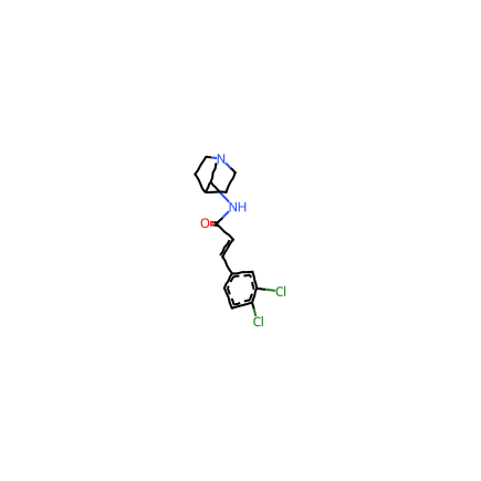 O=C(C=Cc1ccc(Cl)c(Cl)c1)NC1CN2CCC1CC2